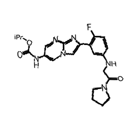 CC(C)OC(=O)Nc1cnc2nc(-c3cc(NCC(=O)N4CCCC4)ccc3F)cn2c1